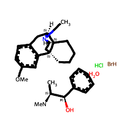 Br.CN[C@@H](C)[C@H](O)c1ccccc1.COc1ccc2c(c1)[C@]13CCCC[C@@H]1[C@H](C2)N(C)CC3.Cl.O